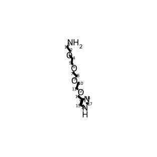 NCCOCCOCCOCCOCc1c[nH]cn1